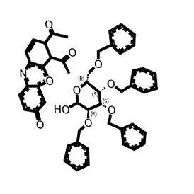 CC(=O)C1C=Cc2nc3ccc(=O)cc-3oc2C1C(C)=O.OC1O[C@H](COCc2ccccc2)[C@H](OCc2ccccc2)[C@H](OCc2ccccc2)[C@H]1OCc1ccccc1